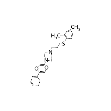 Cc1ccc(SCCCN2CCN(C3=COC(C4=CC=CCC4)=CO3)CC2)c(C)c1